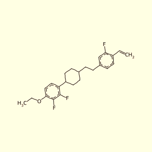 C=Cc1ccc(CCC2CCC(c3ccc(OCC)c(F)c3F)CC2)cc1F